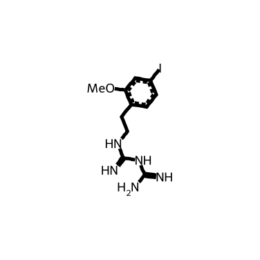 COc1cc(I)ccc1CCNC(=N)NC(=N)N